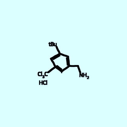 CC(C)(C)c1cc(CN)[c]c(C(Cl)(Cl)Cl)c1.Cl